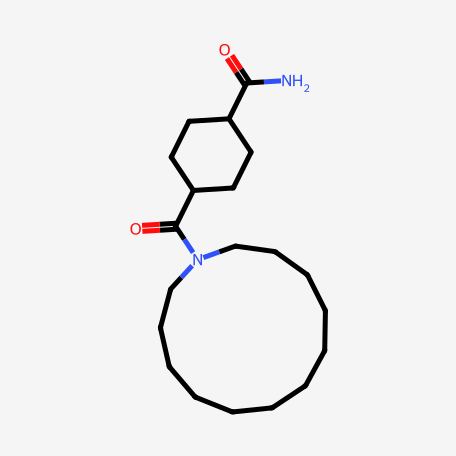 NC(=O)C1CCC(C(=O)N2CCCCCCCCCCCC2)CC1